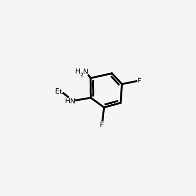 CCNc1c(N)cc(F)cc1F